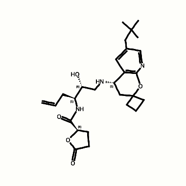 C=CC[C@H](NC(=O)[C@H]1CCC(=O)O1)[C@H](O)CN[C@H]1CC2(CCC2)Oc2ncc(CC(C)(C)C)cc21